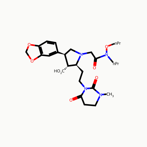 CCCON(CCC)C(=O)CN1C[C@H](c2ccc3c(c2)OCO3)[C@@H](C(=O)O)[C@@H]1CCN1C(=O)CCN(C)C1=O